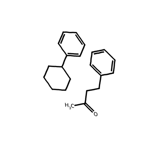 CC(=O)CCc1ccccc1.c1ccc(C2CCCCC2)cc1